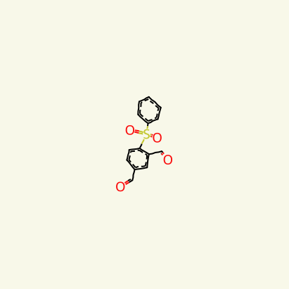 O=Cc1ccc(S(=O)(=O)c2ccccc2)c(C=O)c1